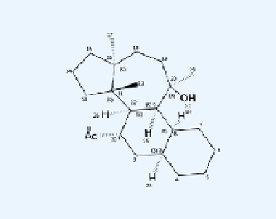 CC(=O)[C@H]1C[C@@H]2CCCC[C@@H]2[C@H]2[C@@H]1[C@]1(C)CCC[C@@]1(C)CC[C@@]2(C)O